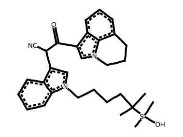 CC(C)(CCCCn1cc(C(C#N)C(=O)c2cn3c4c(cccc24)CCC3)c2ccccc21)[Si](C)(C)O